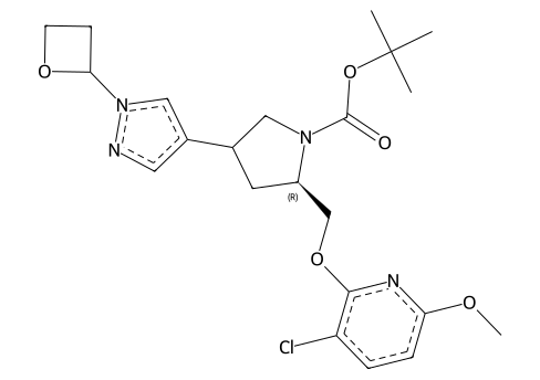 COc1ccc(Cl)c(OC[C@H]2CC(c3cnn(C4CCO4)c3)CN2C(=O)OC(C)(C)C)n1